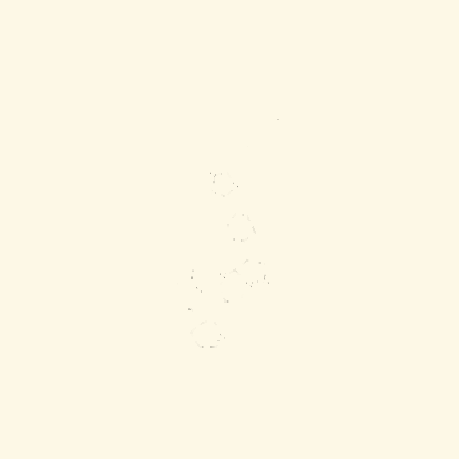 Cc1ccc([C@@H]2COC(=O)N2c2ccn3ncc(-c4ccc(-c5n[nH]c(COCC[Si](C)(C)C)n5)c(F)c4)c3n2)cn1